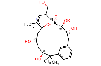 CCC(/C=C(/C)C1C[C@@H](O)C[C@H](O)C(C)(C)c2cccc(c2)C[C@@H](O)[C@H](O)C(=O)O1)CO